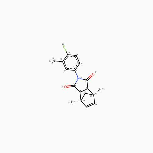 O=C1C2C(C(=O)N1c1ccc(F)c([N+](=O)[O-])c1)[C@H]1C=C[C@@H]2C1